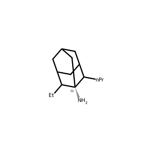 CCCC1C2CC3CC(C2)C(CC)[C@@]1(N)C3